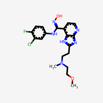 COCCN(C)CCc1nc2nccc(/C(=N\O)Nc3ccc(F)c(Cl)c3)c2[nH]1